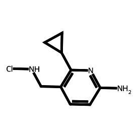 Nc1ccc(CNCl)c(C2CC2)n1